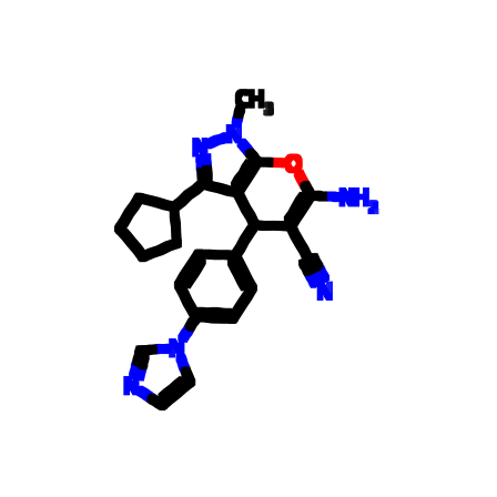 Cn1nc(C2CCCC2)c2c1OC(N)=C(C#N)C2c1ccc(-n2ccnc2)cc1